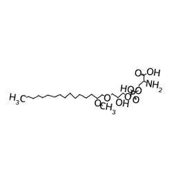 CCCCCCCCCCCCCCC(COCC(O)COP(=O)(O)OCC(N)C(=O)O)OC